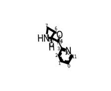 c1ccc([C@@H]2OC3CN[C@H]32)nc1